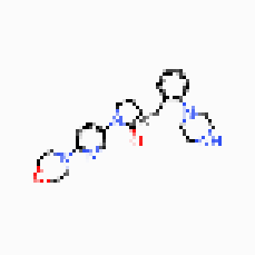 O=C1[C@H](Cc2ccccc2N2CCNCC2)CCN1c1ccc(N2CCOCC2)nc1